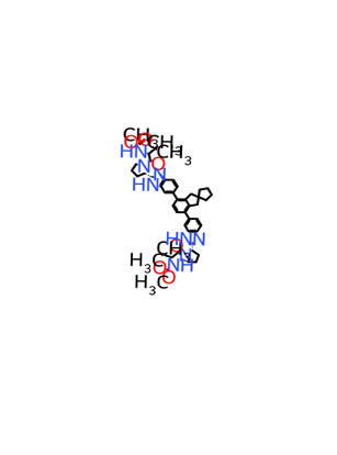 COC(=O)N[C@H](C(=O)N1CCC[C@H]1c1nc2ccc(-c3ccc(-c4ccc5nc([C@@H]6CCCN6C(=O)[C@@H](NC(=O)OC)C(C)C)[nH]c5c4)c4c3CC3(CCCC3)C4)cc2[nH]1)C(C)C